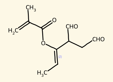 C=C(C)C(=O)O/C(=C\C)C(C=O)CC=O